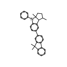 CC1CCC2(C)C1c1cc(-c3ccc4c(c3)C(C)(C)c3ccccc3-4)ccc1N2c1ccccc1